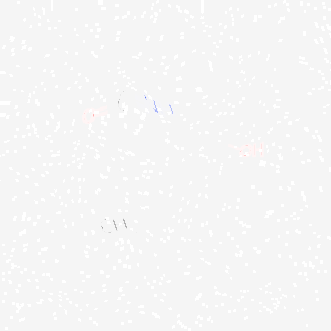 Cc1ccccc1CCCCO.N=C=O